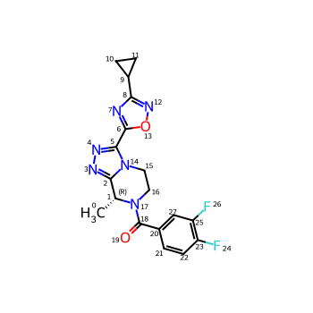 C[C@@H]1c2nnc(-c3nc(C4CC4)no3)n2CCN1C(=O)c1ccc(F)c(F)c1